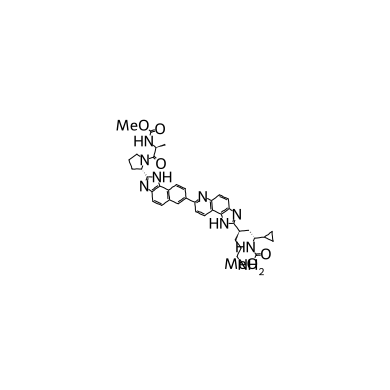 COC(=O)N[C@@H](C)C(=O)N1CCC[C@H]1c1nc2ccc3cc(-c4ccc5c(ccc6nc([C@H](CCCN)C[C@@H](NC(=O)OC)C7CC7)[nH]c65)n4)ccc3c2[nH]1